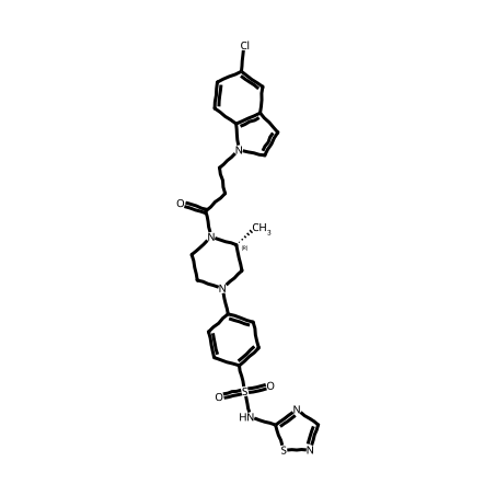 C[C@@H]1CN(c2ccc(S(=O)(=O)Nc3ncns3)cc2)CCN1C(=O)CCn1ccc2cc(Cl)ccc21